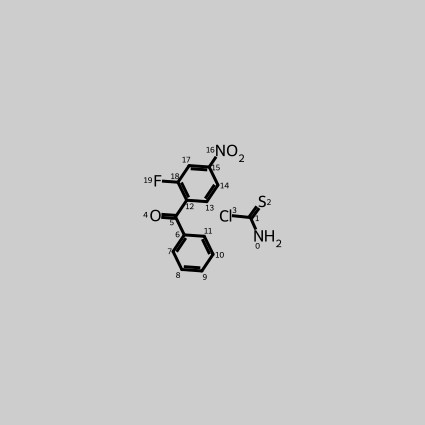 NC(=S)Cl.O=C(c1ccccc1)c1ccc([N+](=O)[O-])cc1F